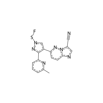 Cc1cccc(-c2nn(SF)cc2-c2ccc3ncc(C#N)n3n2)n1